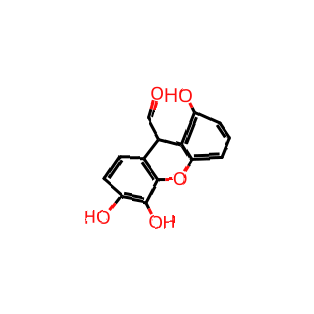 O=CC1c2ccc(O)c(O)c2Oc2cccc(O)c21